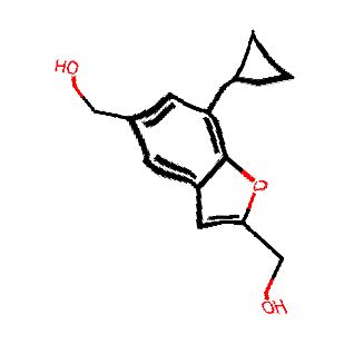 OCc1cc(C2CC2)c2oc(CO)cc2c1